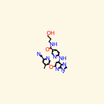 Cc1cc(C#N)ncc1Oc1cc(Nc2ccc(C(=O)NCCCO)cn2)c2ncn(C)c2n1